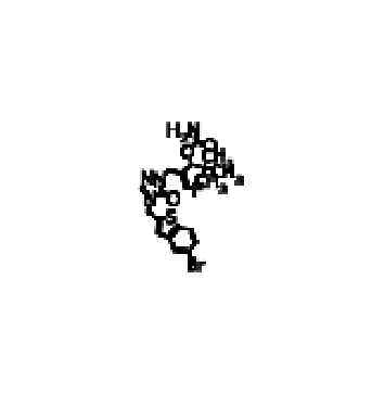 CC(C)(C)C(OC(N)=O)C(=CF)Cn1ncn(Cc2cc3cc(Br)ccc3s2)c1=O